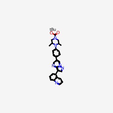 CC1CN(C(=O)OC(C)(C)C)CC(C)N1c1ccc(-c2cnc3c(-c4cccc5ncccc45)cnn3c2)cc1